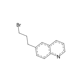 BrCCCc1ccc2ncccc2c1